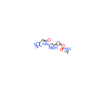 Cc1c(C2C[C@H]2C(=O)Nc2cc([C@H]3CC[C@@H](OC(=O)NC4(C)CC4)C3)[nH]n2)cnn1C